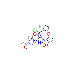 C=CC(=O)N1C[C@@H]2COc3c(Cl)c4nc5c3C(=NC3OC(C)c6cccc(c6N53)Oc3cccc(F)c3-4)N2C[C@@H]1C